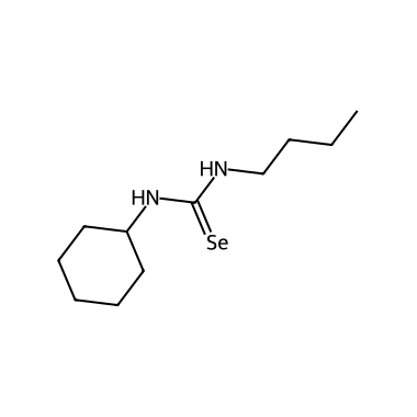 CCCCNC(=[Se])NC1CCCCC1